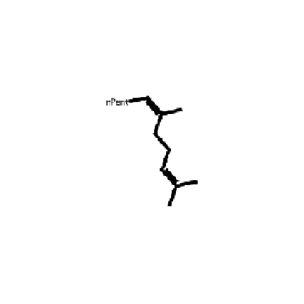 CCCCCC=C(C)CCC=C(C)C